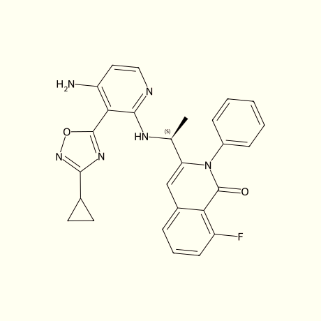 C[C@H](Nc1nccc(N)c1-c1nc(C2CC2)no1)c1cc2cccc(F)c2c(=O)n1-c1ccccc1